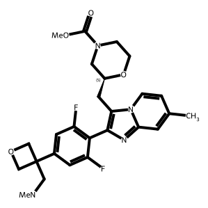 CNCC1(c2cc(F)c(-c3nc4cc(C)ccn4c3C[C@H]3CN(C(=O)OC)CCO3)c(F)c2)COC1